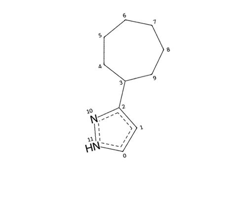 c1cc(C2CCCCCC2)n[nH]1